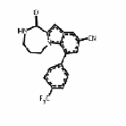 N#Cc1cc(-c2ccc(C(F)(F)F)cc2)c2c(c1)cc1n2CCCNC1=O